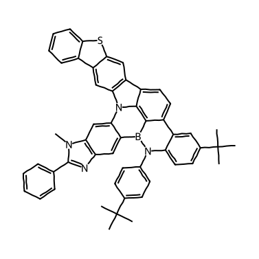 Cn1c(-c2ccccc2)nc2cc3c(cc21)-n1c2cc4c(cc2c2ccc5c(c21)B3N(c1ccc(C(C)(C)C)cc1)c1ccc(C(C)(C)C)cc1-5)sc1ccccc14